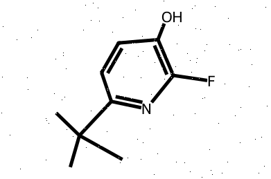 CC(C)(C)c1ccc(O)c(F)n1